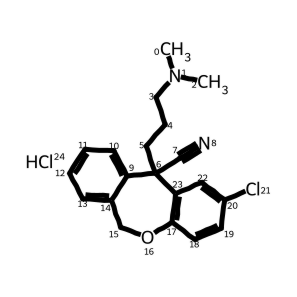 CN(C)CCCC1(C#N)c2ccccc2COc2ccc(Cl)cc21.Cl